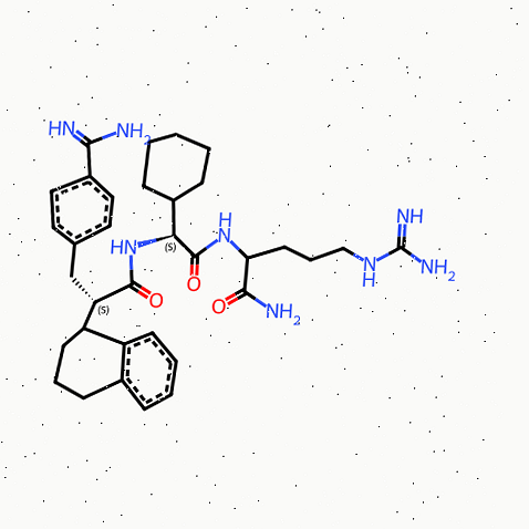 N=C(N)NCCCC(NC(=O)[C@@H](NC(=O)[C@@H](Cc1ccc(C(=N)N)cc1)C1CCCc2ccccc21)C1CCCCC1)C(N)=O